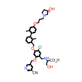 Cc1cc(OCCCN2CC[C@@H](O)C2)ccc1-c1cccc(COc2cc(OCc3cncc(C#N)c3)c(CNC(CO)C(=O)O)cc2Cl)c1C